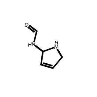 O=CNC1C=CCN1